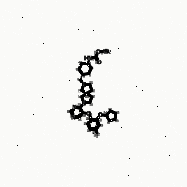 CC(C)(C)OC(=O)N[C@H]1CC[C@H](CN2CCC3(CCN(c4ncncc4Oc4ccc(F)cc4OC4CCCC4)C3)C2)CC1